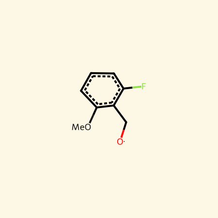 COc1cccc(F)c1C[O]